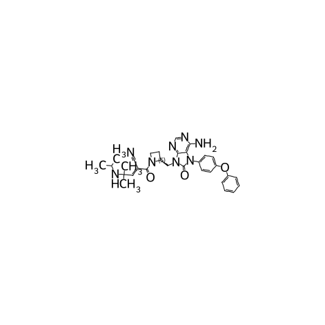 CC(C)NC(C)(C)C=C(C#N)C(=O)N1CC[C@H]1Cn1c(=O)n(-c2ccc(Oc3ccccc3)cc2)c2c(N)ncnc21